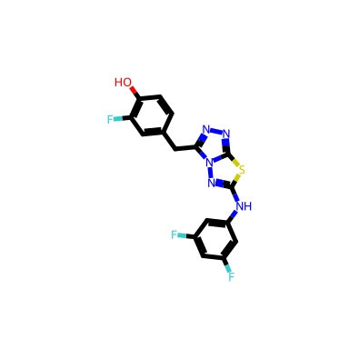 Oc1ccc(Cc2nnc3sc(Nc4cc(F)cc(F)c4)nn23)cc1F